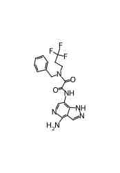 Nc1ncc(NC(=O)C(=O)N(CCC(F)(F)F)Cc2ccccc2)c2[nH]ncc12